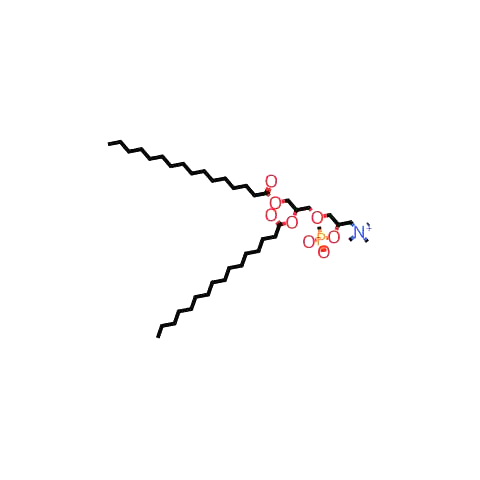 CCCCCCCCCCCCCCCC(=O)OCC(COCC(C[N+](C)(C)C)OP(C)(=O)[O-])OC(=O)CCCCCCCCCCCCCCC